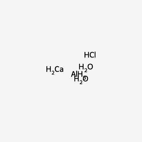 Cl.O.O.[AlH3].[CaH2]